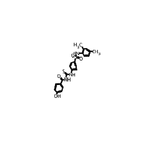 Cc1ccc(NS(=O)(=O)c2ccc(NC(=S)NC(=O)c3ccc(O)cc3)cc2)c(C)c1